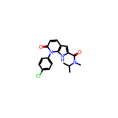 CC(C)N(C)C(=O)c1cc2ccc(=O)n(-c3ccc(Cl)cc3)c2[nH]1